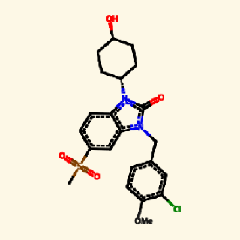 COc1ccc(Cn2c(=O)n([C@H]3CC[C@H](O)CC3)c3ccc(S(C)(=O)=O)cc32)cc1Cl